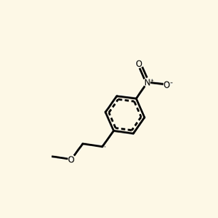 COC[CH]c1ccc([N+](=O)[O-])cc1